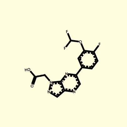 O=C(O)Cn1ncc2ncc(-c3ccc(F)c(OC(F)F)c3)nc21